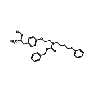 CCOC(Cc1ccc(OCCN(CCCCSc2ccccc2)C(=O)OCc2ccccc2)cc1)C(=O)O